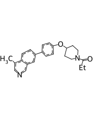 CCC(=O)N1CCC(Oc2ccc(-c3ccc4c(C)cncc4c3)cc2)CC1